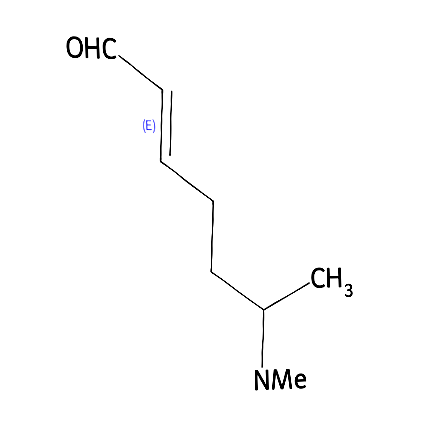 CNC(C)CC/C=C/C=O